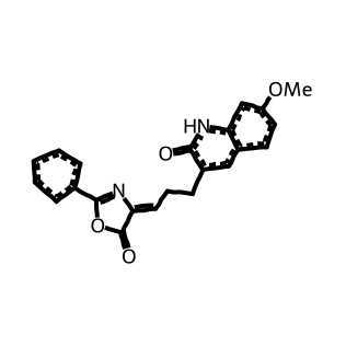 COc1ccc2cc(CC/C=C3\N=C(c4ccccc4)OC3=O)c(=O)[nH]c2c1